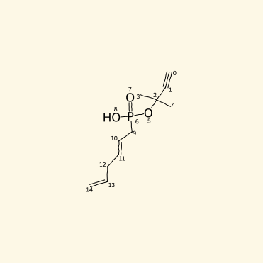 C#CC(C)(C)OP(=O)(O)CC=CCC=C